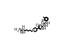 Cc1cccc(NC(=O)Nc2nc(=O)c(C3CCN(CCCCCNC(=N)N)CC3)c[nH]2)c1F